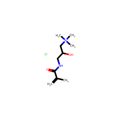 C=C(C)C(=O)NCC(O)C[N+](C)(C)C.[Cl-]